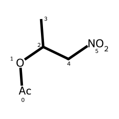 CC(=O)OC(C)C[N+](=O)[O-]